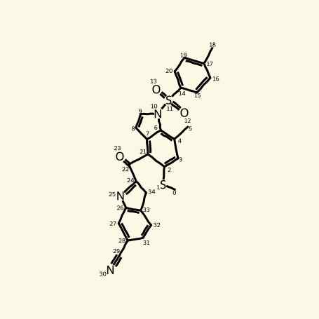 CSc1cc(C)c2c(ccn2S(=O)(=O)c2ccc(C)cc2)c1C(=O)C1=Nc2cc(C#N)ccc2C1